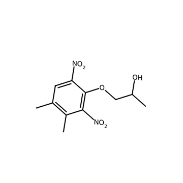 Cc1cc([N+](=O)[O-])c(OCC(C)O)c([N+](=O)[O-])c1C